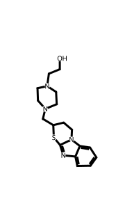 OCCN1CCN(CC2CCn3c(nc4ccccc43)S2)CC1